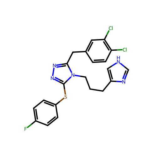 Fc1ccc(Sc2nnc(Cc3ccc(Cl)c(Cl)c3)n2CCCc2c[nH]cn2)cc1